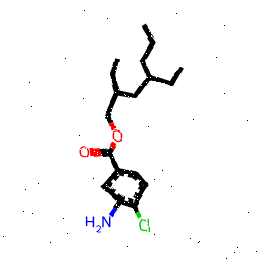 CCCC(CC)CC(CC)COC(=O)c1ccc(Cl)c(N)c1